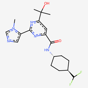 Cn1cncc1-c1nc(C(=O)N[C@H]2CC[C@H](C(F)F)CC2)cc(C(C)(C)O)n1